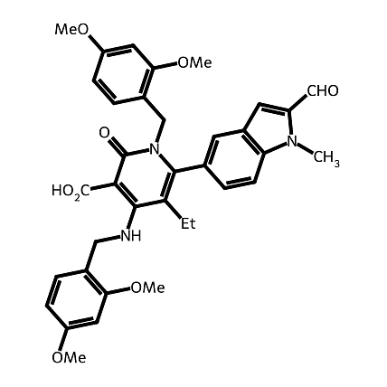 CCc1c(NCc2ccc(OC)cc2OC)c(C(=O)O)c(=O)n(Cc2ccc(OC)cc2OC)c1-c1ccc2c(c1)cc(C=O)n2C